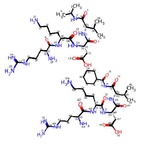 CC(C)NC(=O)[C@@H](NC(=O)[C@H](CC(=O)O)NC(=O)[C@H](CCCCN)NC(=O)[C@@H](N)CCCNC(=N)N)C(C)C.CC(C)[C@H](NC(=O)[C@H](CC(=O)O)NC(=O)[C@H](CCCCN)NC(=O)[C@@H](N)CCCNC(=N)N)C(=O)NC(=O)C1CCCCC1